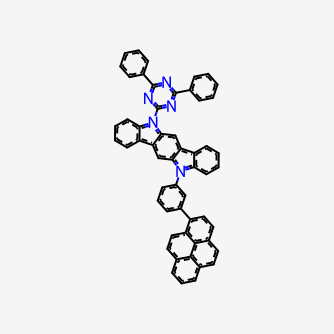 c1ccc(-c2nc(-c3ccccc3)nc(-n3c4ccccc4c4cc5c(cc43)c3ccccc3n5-c3cccc(-c4ccc5ccc6cccc7ccc4c5c67)c3)n2)cc1